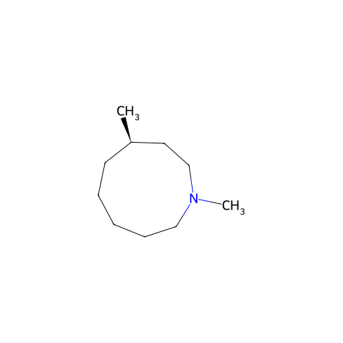 C[C@@H]1CCCCCN(C)CC1